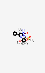 CCOc1cc([C@@H](CS(C)(=O)=O)n2c(=O)[nH]c3c(C)c(-c4ccccc4)cnc32)ccc1OC